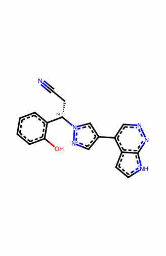 N#CC[C@@H](c1ccccc1O)n1cc(-c2cnnc3[nH]ccc23)cn1